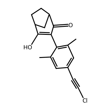 Cc1cc(C#CCl)cc(C)c1C1=C(O)C2CCC(C2)C1=O